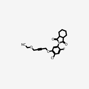 N#CCOCC#CCOc1cc(N2C(=O)C3CCCCC3C2=O)c(F)cc1Cl